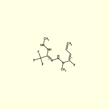 C=C/C=C(/F)N(C)N/N=C(\NNC)C(F)(F)F